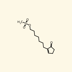 CS(=O)(=O)OCCCCCCCC1=CCCC1=O